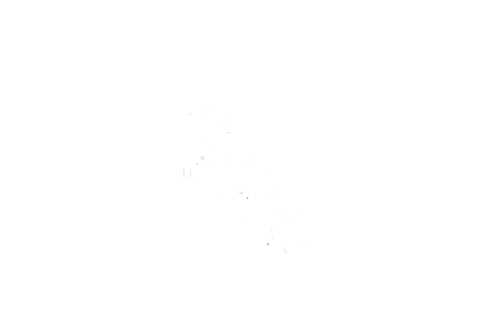 O=C1[C@H]([C@H](O)c2ccc(Cl)cc2)OCCN1Cc1ccccc1